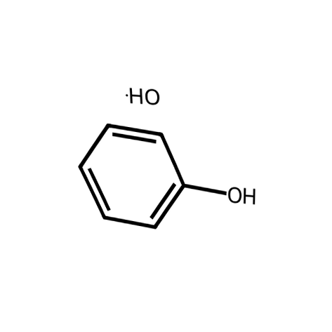 Oc1ccccc1.[OH]